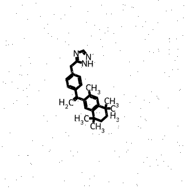 C=C(c1ccc(Cc2ncn[nH]2)cc1)c1cc2c(cc1C)C(C)(C)CCC2(C)C